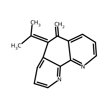 C=c1c(=C(C)C)c2cccnc2c2ncccc12